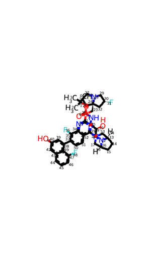 CC(C)(C)OC(=O)NC[C@@H](O)CN1[C@@H]2CC[C@H]1CN(c1nc(OC[C@@]34CCCN3C[C@H](F)C4)nc3c(F)c(-c4cc(O)cc5cccc(F)c45)ccc13)C2